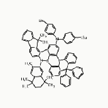 Cc1cc2c(cc1N1B3c4cccc5c4N(c4ccccc4C5(c4ccccc4)c4ccccc4)c4cc(N(c5ccc(C(C)(C)C)cc5)c5ccc(C(C)(C)C)cc5)cc(c43)-c3c1ccc1c3C(C)(C)c3ccccc3-1)C(C)(C)CCC2(C)C